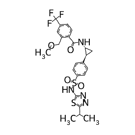 COCc1cc(C(F)(F)F)ccc1C(=O)N[C@@H]1C[C@H]1c1ccc(S(=O)(=O)Nc2nnc(C(C)C)s2)cc1